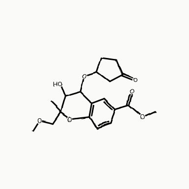 COCC1(C)Oc2ccc(C(=O)OC)cc2C(OC2CCC(=O)C2)C1O